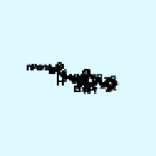 CCCCCOC(=O)NCCCC[C@@H]1NC(=O)C2(CCN(CCc3ccccc3)CC2)N(CCC)C1=O